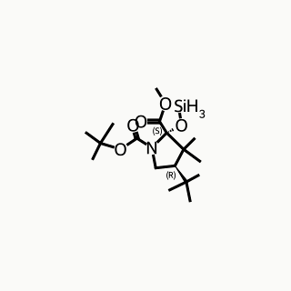 COC(=O)[C@]1(O[SiH3])N(C(=O)OC(C)(C)C)C[C@H](C(C)(C)C)C1(C)C